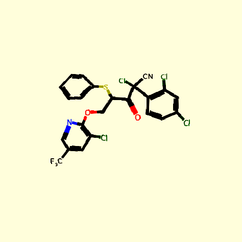 N#CC(Cl)(C(=O)C(COc1ncc(C(F)(F)F)cc1Cl)Sc1ccccc1)c1ccc(Cl)cc1Cl